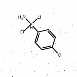 N[PH](Cl)(Cl)c1ccc(Cl)cc1